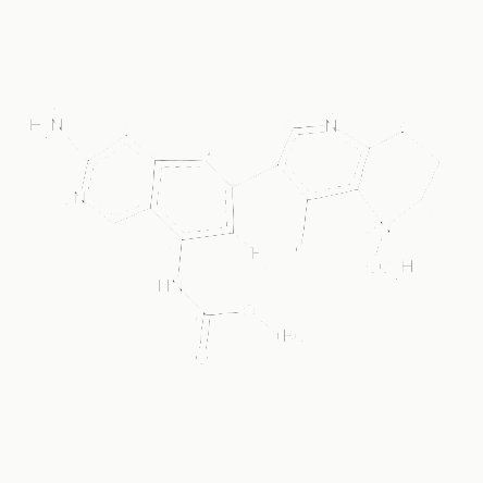 Cc1c(-c2cc3cc(N)ncc3c(NC(=O)OC(C)(C)C)c2F)cnc2c1N(C(=O)O)CCC2